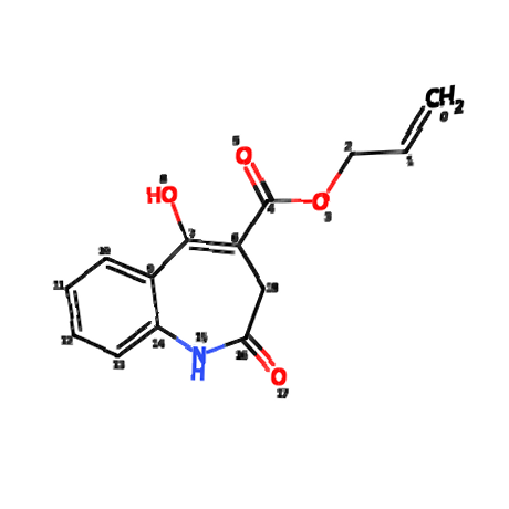 C=CCOC(=O)C1=C(O)c2ccccc2NC(=O)C1